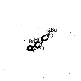 CC(C)(C)OC(=O)N1CCC(O)(Cn2cc(Br)c(-c3ccccc3F)cc2=O)CC1